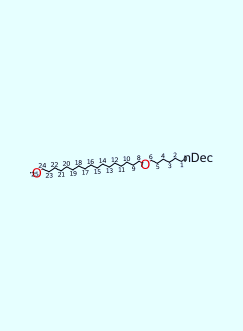 CCCCCCCCCCCCCCCCOCCCCCCCCCCCCCCCCC[O]